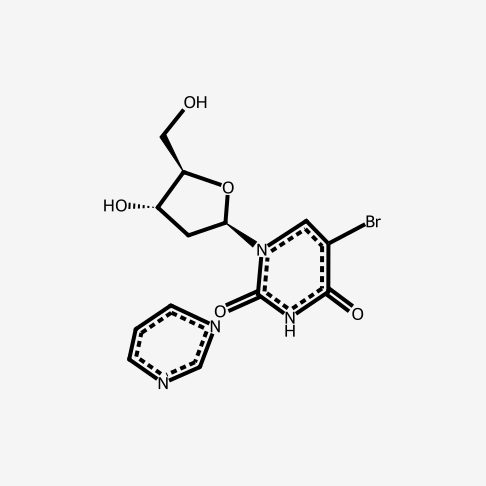 O=c1[nH]c(=O)n([C@H]2C[C@H](O)[C@@H](CO)O2)cc1Br.c1cncnc1